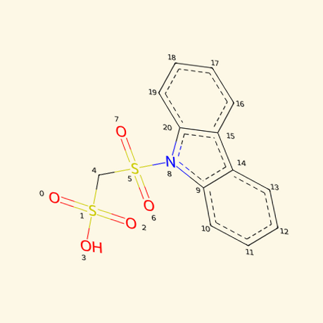 O=S(=O)(O)CS(=O)(=O)n1c2ccccc2c2ccccc21